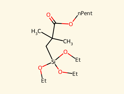 CCCCCOC(=O)C(C)(C)C[Si](OCC)(OCC)OCC